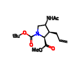 C=CC[C@@H]1C(NC(C)=O)CN(C(=O)OC(C)(C)C)[C@@H]1C(=O)OC